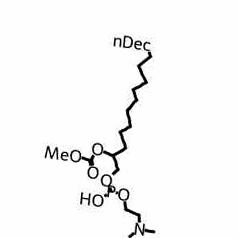 CCCCCCCCCCCCCCCCCCCC(COP(O)OCCN(C)C)OC(=O)OC